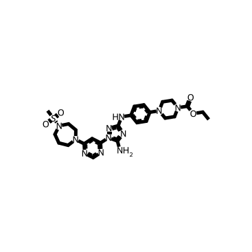 CCOC(=O)N1CCN(c2ccc(Nc3nc(N)n(-c4cc(N5CCCN(S(C)(=O)=O)CC5)ncn4)n3)cc2)CC1